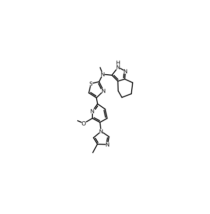 COc1nc(-c2csc(N(C)c3[nH]nc4c3CCCC4)n2)ccc1-n1cnc(C)c1